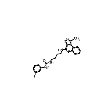 Cc1nnc2c(NCCCCNC(=O)Nc3cccc(F)c3)nc3ccccc3n12